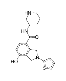 O=C(NC1CCCNC1)c1ccc(O)c2c1CN(c1cccs1)C2